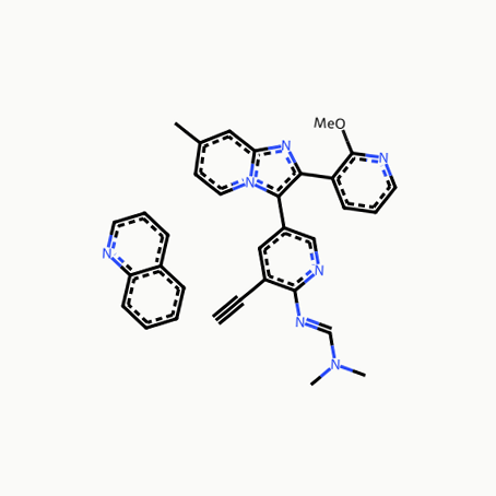 C#Cc1cc(-c2c(-c3cccnc3OC)nc3cc(C)ccn23)cnc1N=CN(C)C.c1ccc2ncccc2c1